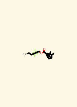 CC1C2CC3C1C3(C(=O)OCC(F)(F)C(F)(F)CCC(F)(F)F)C2C